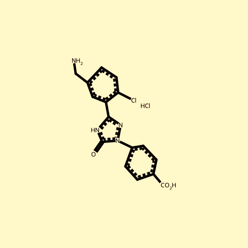 Cl.NCc1ccc(Cl)c(-c2nn(-c3ccc(C(=O)O)cc3)c(=O)[nH]2)c1